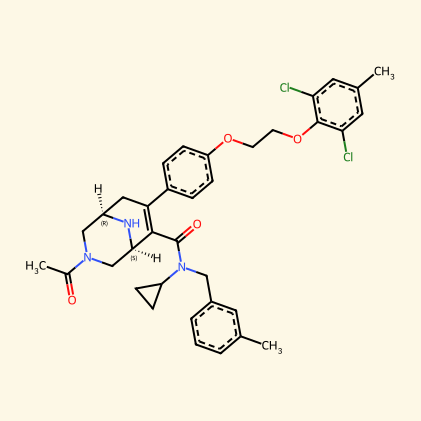 CC(=O)N1C[C@H]2CC(c3ccc(OCCOc4c(Cl)cc(C)cc4Cl)cc3)=C(C(=O)N(Cc3cccc(C)c3)C3CC3)[C@@H](C1)N2